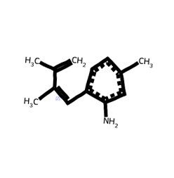 C=C(C)/C(C)=C\c1ccc(C)cc1N